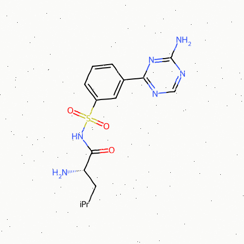 CC(C)C[C@H](N)C(=O)NS(=O)(=O)c1cccc(-c2ncnc(N)n2)c1